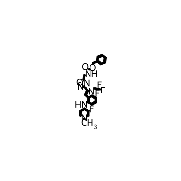 CN1CC[C@@H](Nc2cccc3c2cc(-c2noc(CNC(=O)OCc4ccccc4)n2)n3CC(F)(F)F)[C@@H](F)C1